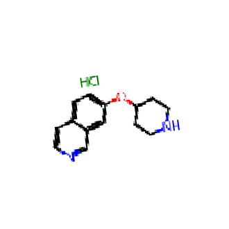 Cl.c1cc2ccc(OC3CCNCC3)cc2cn1